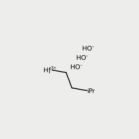 CC(C)C[CH2][Hf+3].[OH-].[OH-].[OH-]